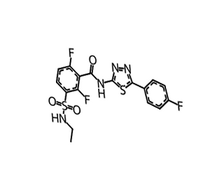 CCNS(=O)(=O)c1ccc(F)c(C(=O)Nc2nnc(-c3ccc(F)cc3)s2)c1F